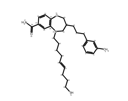 Cc1cccc(CCCC2COc3ccc(C(N)=O)cc3N(CCCC/C=C/CCCS)C2)c1